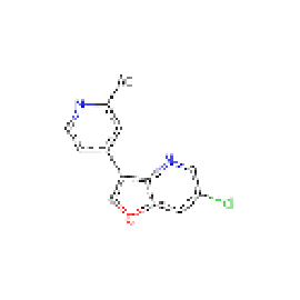 CC(=O)c1cc(-c2coc3cc(Cl)cnc23)ccn1